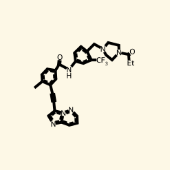 CCC(=O)N1CCN(Cc2ccc(NC(=O)c3ccc(C)c(C#Cc4cnc5cccnn45)c3)cc2C(F)(F)F)CC1